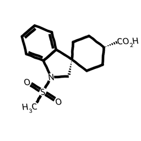 CS(=O)(=O)N1C[C@]2(CC[C@@H](C(=O)O)CC2)c2ccccc21